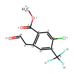 COC(=O)c1cc(Cl)c(C(F)(F)F)cc1CC=O